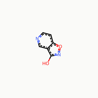 Oc1noc2ccncc12